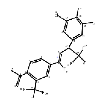 C=C(C)c1ccc(/C(F)=C/C(c2cc(C)c(C)c(Cl)c2)C(C)(F)F)cc1C(C)(F)F